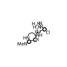 CNc1ccc2c(c1)NCCCCC[C@H](NC(=O)/C=C/c1cc(Cl)ccc1N(N)/C=N\N)c1cc-2ccn1